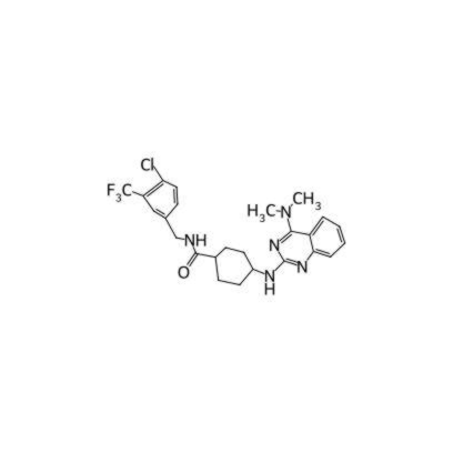 CN(C)c1nc(NC2CCC(C(=O)NCc3ccc(Cl)c(C(F)(F)F)c3)CC2)nc2ccccc12